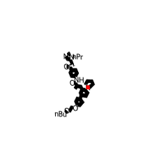 CCCCOCCOc1ccc(-c2ccc(N3CCCCC3)c(/C=C(\C)C(=O)Nc3ccc([S+]([O-])Cc4cncn4CCC)cc3)c2)cc1